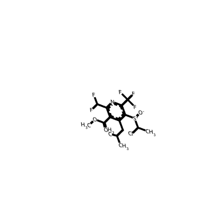 COC(=O)c1c(C(F)F)nc(C(F)(F)F)c([S+]([O-])C(C)Cl)c1CC(C)C